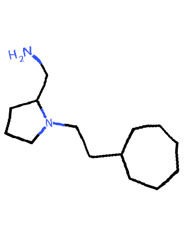 NCC1CCCN1CCC1CCCCCC1